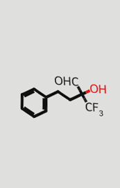 O=CC(O)(CCc1ccccc1)C(F)(F)F